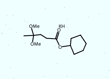 COC(C)(CCC(=O)OC1CCCCC1)OC.[KH]